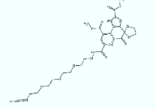 COC(=O)c1cc2c([nH]1)-c1c(C(=O)OC)cc(C(=O)NOCCOCCOCCOCCN=[N+]=[N-])nc1C(=O)C21OCCO1